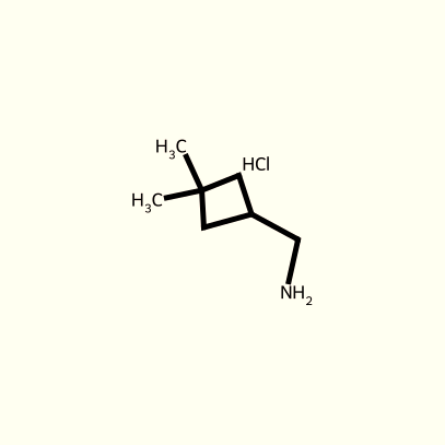 CC1(C)CC(CN)C1.Cl